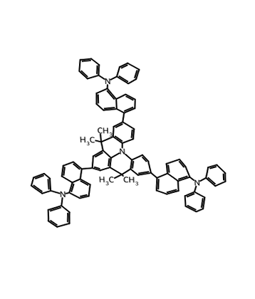 CC1(C)c2cc(-c3cccc4c(N(c5ccccc5)c5ccccc5)cccc34)ccc2N2c3ccc(-c4cccc5c(N(c6ccccc6)c6ccccc6)cccc45)cc3C(C)(C)c3cc(-c4cccc5c(N(c6ccccc6)c6ccccc6)cccc45)cc1c32